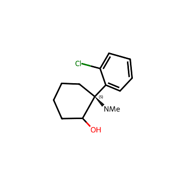 CN[C@]1(c2ccccc2Cl)CCCCC1O